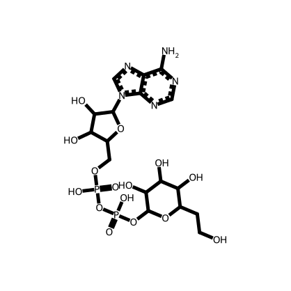 Nc1ncnc2c1ncn2C1OC(COP(=O)(O)OP(=O)(O)OC2OC(CCO)C(O)C(O)C2O)C(O)C1O